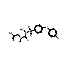 CN(CC(=O)O)C(=O)N(O)S(=O)(=O)c1ccc(Oc2ccc(I)cc2)cc1